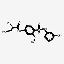 CCOc1cc(NC(=O)[C@@H](CO)C(C)C)ccc1S(=O)(=O)Nc1cccc(C(F)(F)F)c1